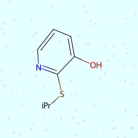 CC(C)Sc1ncccc1O